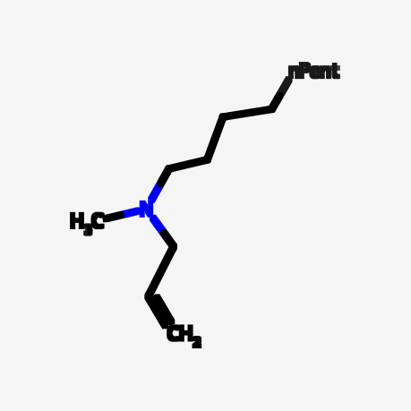 C=CCN(C)CCCCCCCCC